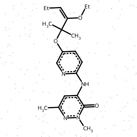 CC/C=C(/OCC)C(C)(C)Oc1ccc(Nc2cc(C)nn(C)c2=O)nc1